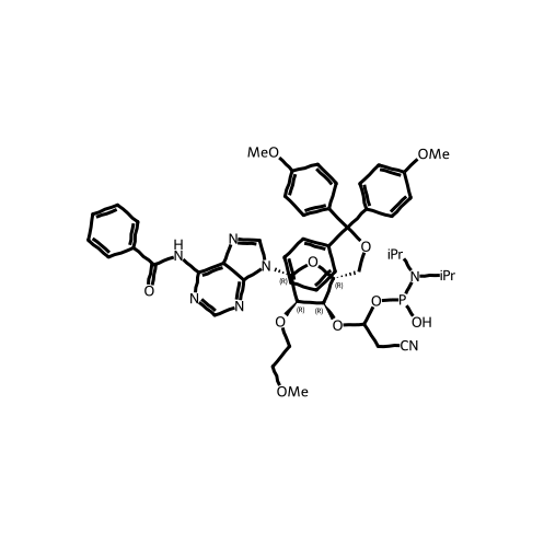 COCCO[C@@H]1[C@H](OC(CC#N)OP(O)N(C(C)C)C(C)C)[C@@H](COC(c2ccccc2)(c2ccc(OC)cc2)c2ccc(OC)cc2)O[C@H]1n1cnc2c(NC(=O)c3ccccc3)ncnc21